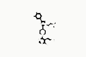 CCOC=Cc1c(N)ncnc1N1CCC(c2nc(-c3ccc(F)c(C(F)(F)F)c3)cn2CCN(C)C)CC1